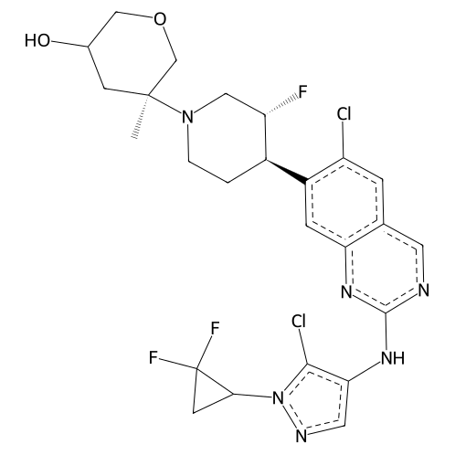 C[C@@]1(N2CC[C@H](c3cc4nc(Nc5cnn(C6CC6(F)F)c5Cl)ncc4cc3Cl)[C@@H](F)C2)COCC(O)C1